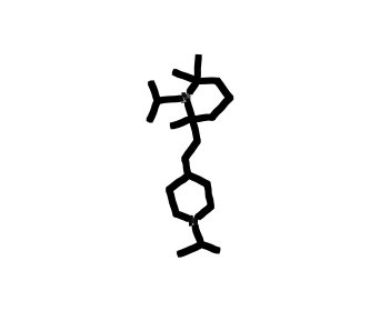 CC(C)N1CCC(CCC2(C)CCCC(C)(C)N2C(C)C)CC1